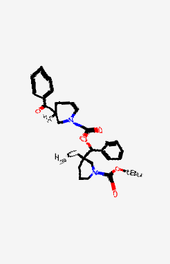 CC(C)(C)OC(=O)N1CCCC(C)(C(OC(=O)N2CCCC(C)(C(=O)c3ccccc3)C2)c2ccccc2)C1